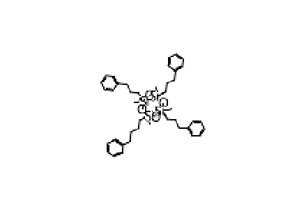 C[Si]1(CCCCc2ccccc2)O[Si](C)(CCCc2ccccc2)O[Si](C)(CCCc2ccccc2)O[Si](C)(CCCc2ccccc2)O1